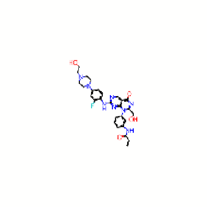 C=CC(=O)Nc1cccc(-n2c(CO)nc(=O)c3cnc(Nc4ccc(N5CCN(CCO)CC5)cc4F)nc32)c1